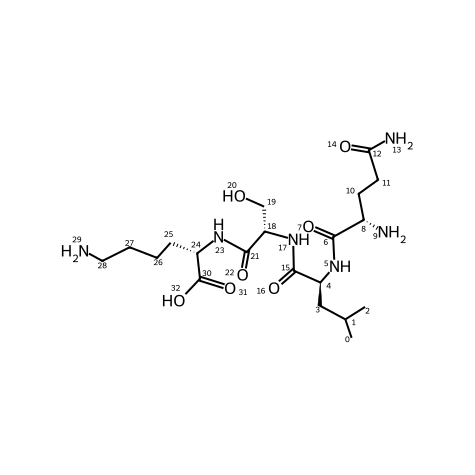 CC(C)C[C@H](NC(=O)[C@@H](N)CCC(N)=O)C(=O)N[C@@H](CO)C(=O)N[C@@H](CCCCN)C(=O)O